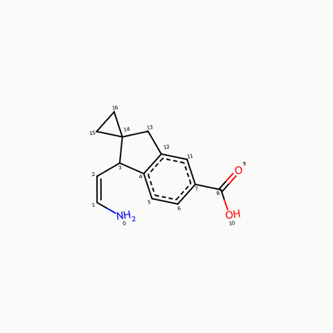 N/C=C\C1c2ccc(C(=O)O)cc2CC12CC2